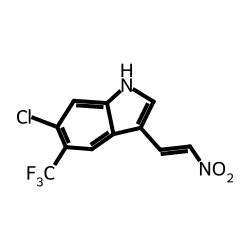 O=[N+]([O-])C=Cc1c[nH]c2cc(Cl)c(C(F)(F)F)cc12